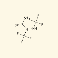 FC(F)(F)NN(C(=S)S)C(F)(F)F